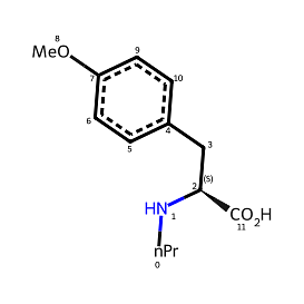 CCCN[C@@H](Cc1ccc(OC)cc1)C(=O)O